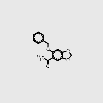 CC(=O)c1cc2c(cc1OCc1ccccc1)OCO2